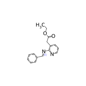 CCOC(=O)Cc1cccnc1/N=C/c1ccccc1